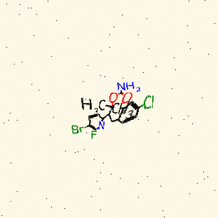 CC(C)(OC(N)=O)C(Cc1ccc(Cl)cc1)c1ccc(Br)c(F)n1